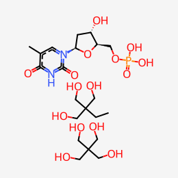 CCC(CO)(CO)CO.Cc1cn([C@H]2C[C@H](O)[C@@H](COP(=O)(O)O)O2)c(=O)[nH]c1=O.OCC(CO)(CO)CO